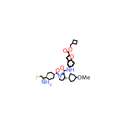 COC1CCC([C@@H]2CCN(C(=O)[C@H]3CC[C@H]([C@H](N)CF)CC3)[C@@H]2C(=O)Nc2ccc3oc(C(=O)OCC4CCC4)cc3c2)CC1